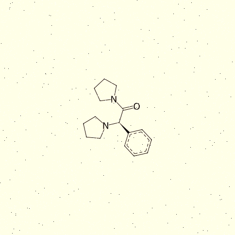 O=C([C@@H](c1ccccc1)N1CCCC1)N1CCCC1